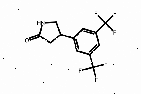 O=C1CC(c2cc(C(F)(F)F)cc(C(F)(F)F)c2)CN1